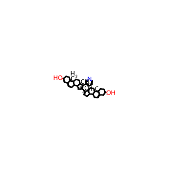 C[C@@]12CCC3C(CC=C4C[C@H](O)CC[C@]43C)C1CC=C2C1=C(c2cccnc2)[C@@]2(C)CCC3C(CC=C4C[C@@H](O)CC[C@@]43C)C2C1